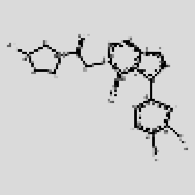 O=C(Cn1ccn2ccc(-c3ccc(F)c(Cl)c3)c2c1=O)N1CCC(F)C1